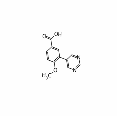 COc1ccc(C(=O)O)cc1-c1cncnc1